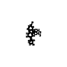 CC1(C)c2cc(I)ccc2-c2ccc(-c3cccs3)cc21